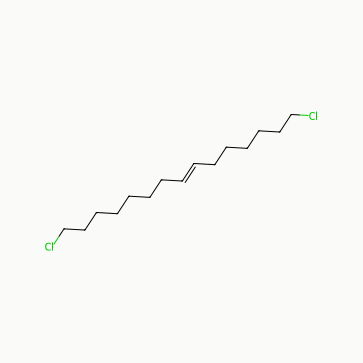 ClCCCCCCC=CCCCCCCCCl